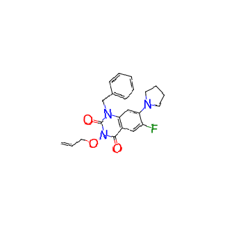 C=CCOn1c(=O)c2cc(F)c(N3CCCC3)cc2n(Cc2ccccc2)c1=O